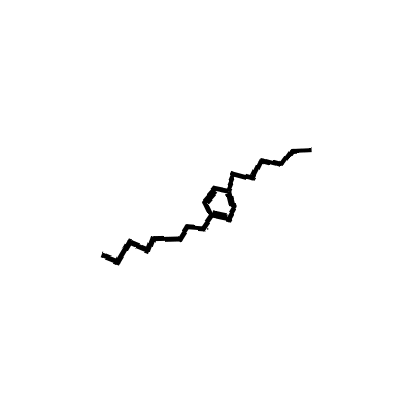 CCCCCCC[CH]c1ccc(CCCCCC)cc1